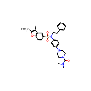 CCOC(=O)c1oc2ccc(S(=O)(=O)N(CCc3ccccc3)c3ccc(N4CCN(C(=O)N(C)C)CC4)cc3)cc2c1C